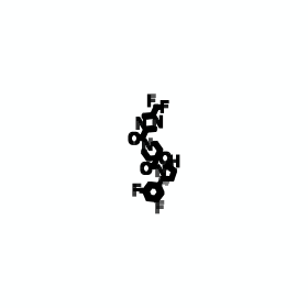 O=C(c1cnc(C(F)F)cn1)N1CCC2(CC1)O[C@@H]1CC[C@@H](c3cc(F)cc(F)c3)N1C2=O